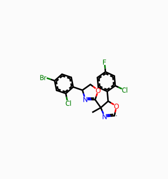 CC1(C2=NC(c3ccc(Br)cc3Cl)CO2)N=[C]OC1c1ccc(F)cc1Cl